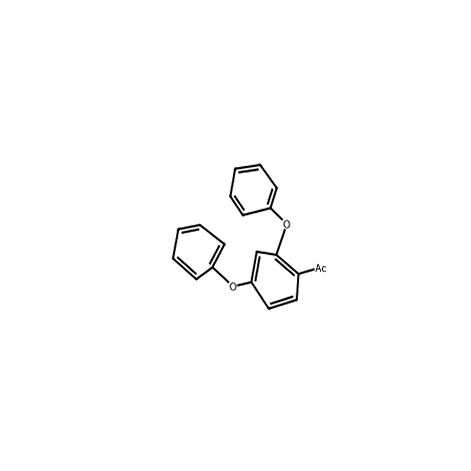 CC(=O)c1ccc(Oc2ccccc2)cc1Oc1ccccc1